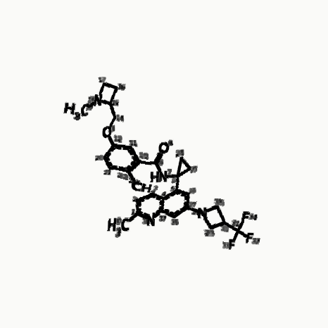 Cc1ccc2c(C3(NC(=O)c4cc(OCC5CCN5C)ccc4C)CC3)cc(N3CC(C(F)(F)F)C3)cc2n1